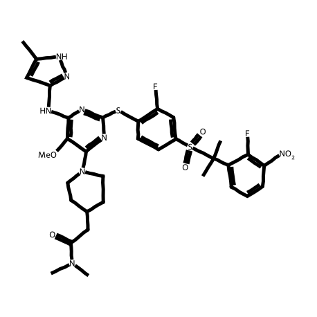 COc1c(Nc2cc(C)[nH]n2)nc(Sc2ccc(S(=O)(=O)C(C)(C)c3cccc([N+](=O)[O-])c3F)cc2F)nc1N1CCC(CC(=O)N(C)C)CC1